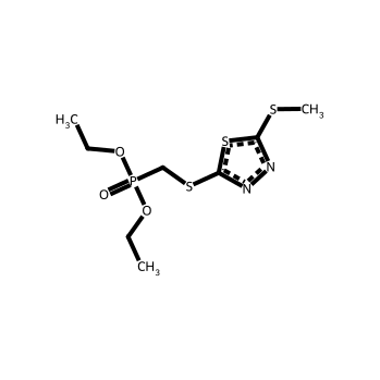 CCOP(=O)(CSc1nnc(SC)s1)OCC